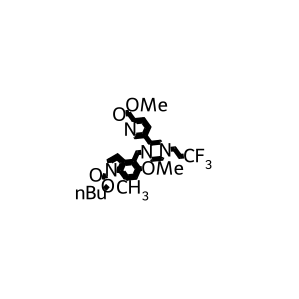 CCCCOC(=O)n1ccc2c(CN3CCN(CCC(F)(F)F)CC3c3ccc(C(=O)OC)nc3)c(OC)cc(C)c21